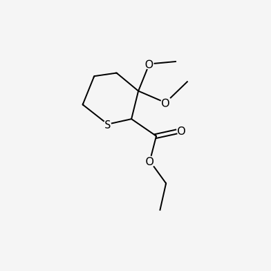 CCOC(=O)C1SCCCC1(OC)OC